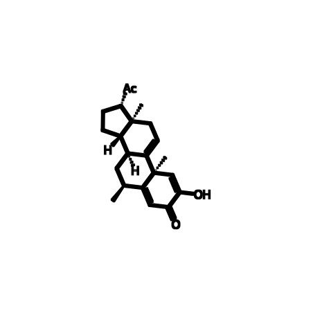 CC(=O)[C@H]1CC[C@H]2[C@@H]3C[C@H](C)C4=CC(=O)C(O)=C[C@]4(C)C3=CC[C@]12C